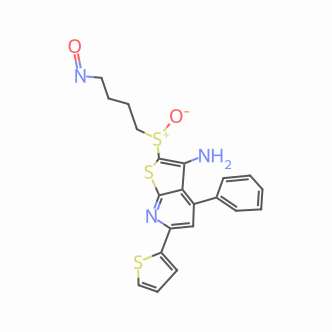 Nc1c([S+]([O-])CCCCN=O)sc2nc(-c3cccs3)cc(-c3ccccc3)c12